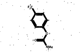 CNC(=O)Oc1ccc(C(F)(F)F)cc1